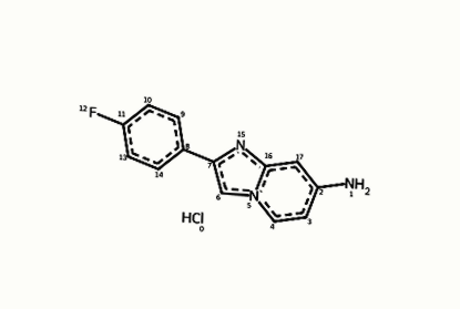 Cl.Nc1ccn2cc(-c3ccc(F)cc3)nc2c1